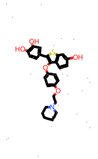 Oc1ccc2c(Oc3ccc(OCCN4CCCCC4)cc3)c(-c3ccc(O)c(O)c3)sc2c1